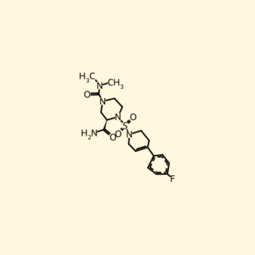 CN(C)C(=O)N1CCN(S(=O)(=O)N2CC=C(c3ccc(F)cc3)CC2)[C@@H](C(N)=O)C1